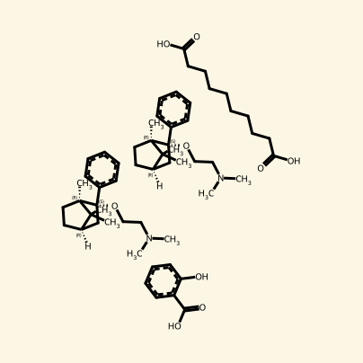 CN(C)CCO[C@]1(c2ccccc2)C[C@H]2CC[C@]1(C)C2(C)C.CN(C)CCO[C@]1(c2ccccc2)C[C@H]2CC[C@]1(C)C2(C)C.O=C(O)CCCCCCCCC(=O)O.O=C(O)c1ccccc1O